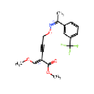 CO/C=C(\C#CCO/N=C(/C)c1cccc(C(F)(F)F)c1)C(=O)OC